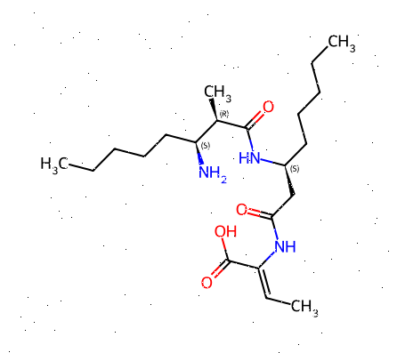 CC=C(NC(=O)C[C@H](CCCCC)NC(=O)[C@H](C)[C@@H](N)CCCCC)C(=O)O